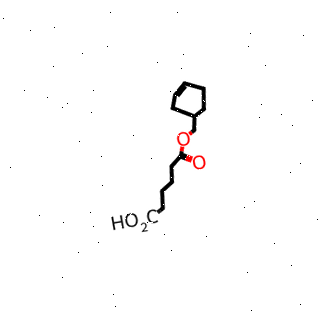 O=C(O)CCCCC(=O)OCC1CC=CCC1